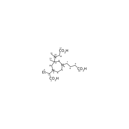 CCC(C(=O)O)N1CCN(CCCC(=O)O)CC(C)(N(C)CC(=O)O)C1